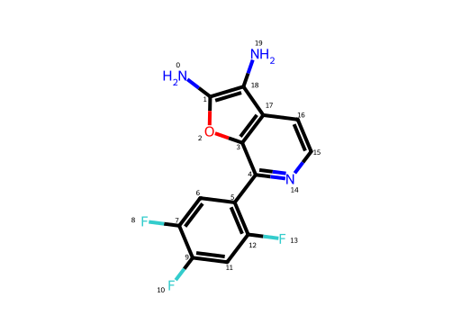 Nc1oc2c(-c3cc(F)c(F)cc3F)nccc2c1N